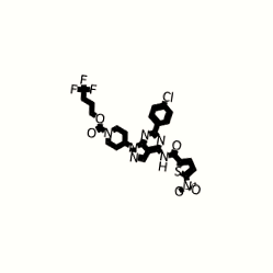 O=C(Nc1nc(-c2ccc(Cl)cc2)nc2c1cnn2C1CCN(C(=O)OCCCC(F)(F)F)CC1)c1ccc([N+](=O)[O-])s1